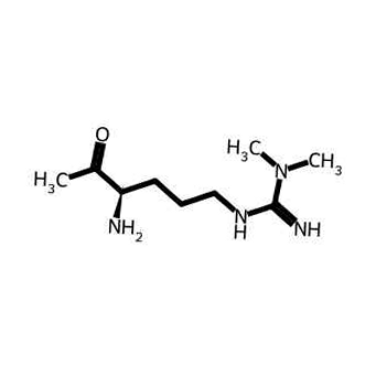 CC(=O)[C@H](N)CCCNC(=N)N(C)C